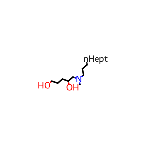 CCCCCCCCCCN(C)CC(O)CCCO